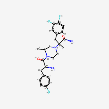 CCCC1CN(C(C)(Cc2ccc(F)c(F)c2)C(N)=O)CCN1C(=O)C(N)Cc1ccc(F)cc1